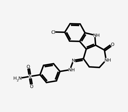 NS(=O)(=O)c1ccc(N/N=C2\CCNC(=O)c3[nH]c4ccc(Cl)cc4c32)cc1